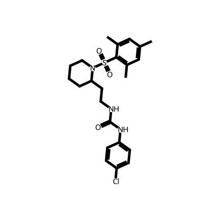 Cc1cc(C)c(S(=O)(=O)N2CCCCC2CCNC(=O)Nc2ccc(Cl)cc2)c(C)c1